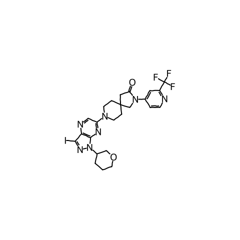 O=C1CC2(CCN(c3cnc4c(I)nn(C5CCCOC5)c4n3)CC2)CN1c1ccnc(C(F)(F)F)c1